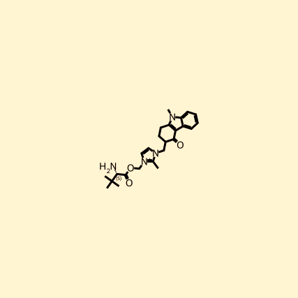 Cc1n(CC2CCc3c(c4ccccc4n3C)C2=O)cc[n+]1COC(=O)[C@@H](N)C(C)(C)C